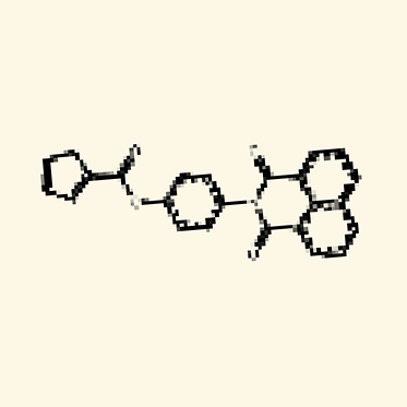 O=C(Oc1ccc(N2C(=O)c3cccc4cccc(c34)C2=O)cc1)C1=CC=CC1